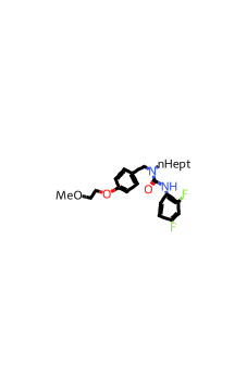 CCCCCCCN(Cc1ccc(OCCOC)cc1)C(=O)Nc1ccc(F)cc1F